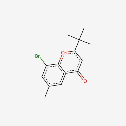 Cc1cc(Br)c2oc(C(C)(C)C)cc(=O)c2c1